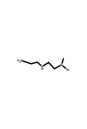 CC(=O)N(C)CCNCCN